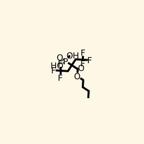 CCCCOC(=O)C(CC(F)(F)F)(CC(F)(F)F)P(=O)(O)O